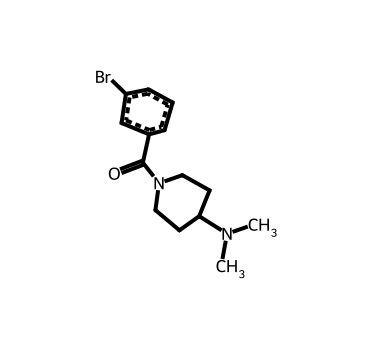 CN(C)C1CCN(C(=O)c2cccc(Br)c2)CC1